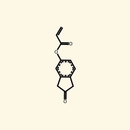 C=CC(=O)Oc1ccc2c(c1)CC(=O)C2